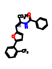 O=C(O)/C(=C/c1ccc(-c2ccccc2C(F)(F)F)o1)NC(=O)c1ccccc1